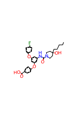 CCCCCC1(O)CCN(C(=O)Nc2cc(Oc3ccc(F)cc3)cc(Oc3ccc(C(=O)O)cc3)c2)CC1